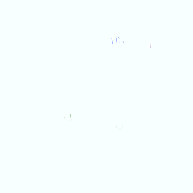 Clc1ccc(NI)cc1Cl